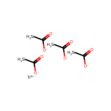 O=C([O-])[SiH3].O=C([O-])[SiH3].O=C([O-])[SiH3].O=C([O-])[SiH3].[Ti+4]